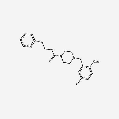 COc1ccc(F)cc1CN1CCN(C(=O)NCCc2ccccn2)CC1